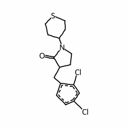 O=C1C(Cc2ccc(Cl)cc2Cl)CCN1C1CCSCC1